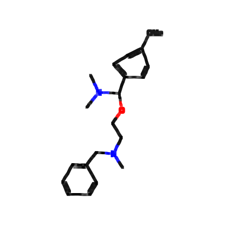 COc1ccc(C(OCCN(C)Cc2ccccc2)N(C)C)cc1